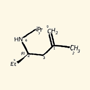 C=C(C)C[C@@H](CC)NC(C)C